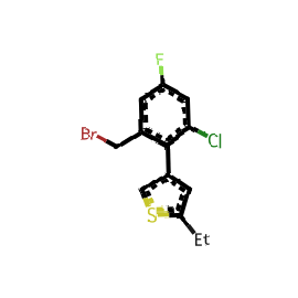 [CH2]Cc1cc(-c2c(Cl)cc(F)cc2CBr)cs1